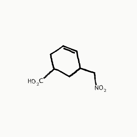 O=C(O)C1CC=CC(C[N+](=O)[O-])C1